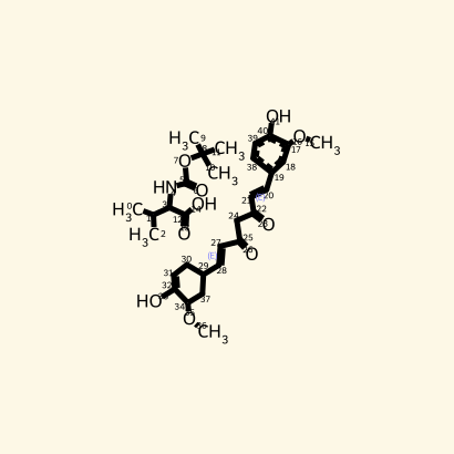 CC(C)C(NC(=O)OC(C)(C)C)C(=O)O.COc1cc(/C=C/C(=O)CC(=O)/C=C/C2CC=C(O)C(OC)C2)ccc1O